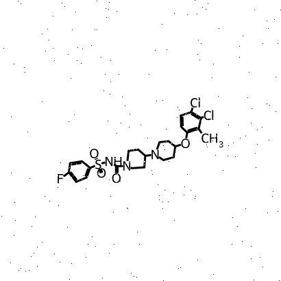 Cc1c(OC2CCN(C3CCN(C(=O)NS(=O)(=O)c4ccc(F)cc4)CC3)CC2)ccc(Cl)c1Cl